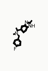 Cc1nc2cc(C(C)N(C)Cc3ccc(F)cc3)ccc2[nH]1